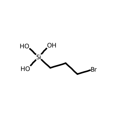 O[Si](O)(O)CCCBr